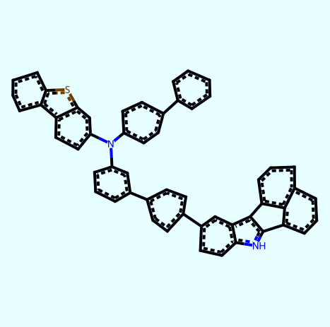 c1ccc(-c2ccc(N(c3cccc(-c4ccc(-c5ccc6[nH]c7c(c6c5)-c5cccc6cccc-7c56)cc4)c3)c3ccc4c(c3)sc3ccccc34)cc2)cc1